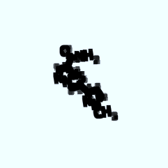 Cn1ccc(-c2cn3ncc(C(N)=O)c3s2)n1